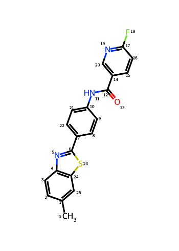 Cc1ccc2nc(-c3ccc(NC(=O)c4ccc(F)nc4)cc3)sc2c1